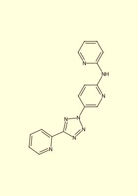 c1ccc(Nc2ccc(-n3nnc(-c4ccccn4)n3)cn2)nc1